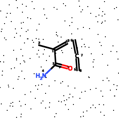 C=C(C)C(N)=O.C=C=C